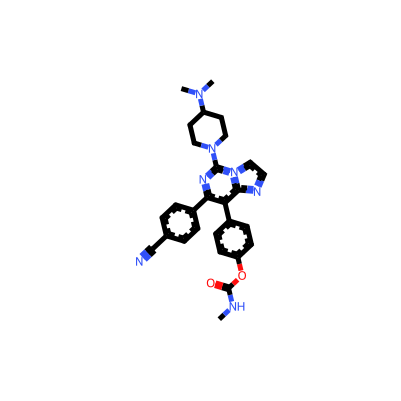 CNC(=O)Oc1ccc(-c2c(-c3ccc(C#N)cc3)nc(N3CCC(N(C)C)CC3)n3ccnc23)cc1